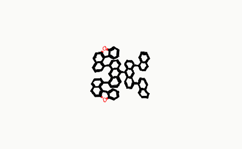 c1ccc2c(-c3cccc4c(-c5c6cccc(-c7cccc8ccc9oc%10ccccc%10c9c78)c6cc6c(-c7cccc8ccc9oc%10ccccc%10c9c78)cccc56)c5cccc(-c6cccc7ccccc67)c5cc34)cccc2c1